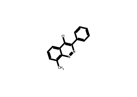 Cc1cccc2c(Cl)c(-c3ccccc3)nnc12